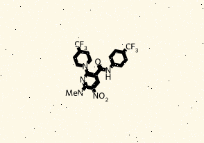 CNc1nc(N2CCC(C(F)(F)F)CC2)c(C(=O)NC2CCC(C(F)(F)F)CC2)cc1[N+](=O)[O-]